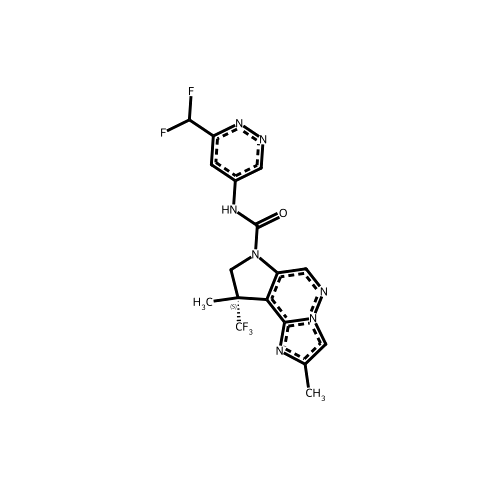 Cc1cn2ncc3c(c2n1)[C@](C)(C(F)(F)F)CN3C(=O)Nc1cnnc(C(F)F)c1